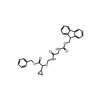 O=C(CNC(=O)OCC1c2ccccc2-c2ccccc21)NCOC(C(=O)OCc1ccccc1)C1CC1